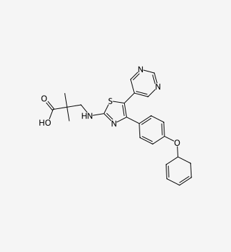 CC(C)(CNc1nc(-c2ccc(OC3C=CC=CC3)cc2)c(-c2cncnc2)s1)C(=O)O